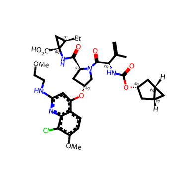 C=C(C)[C@H](NC(=O)O[C@@H]1C[C@@H]2C[C@@H]2C1)C(=O)N1C[C@H](Oc2cc(NCCOC)nc3c(Cl)c(OC)ccc23)C[C@H]1C(=O)N[C@]1(C(=O)O)C[C@H]1CC